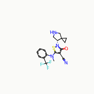 CN(c1ccccc1C(F)(F)F)c1sn([C@@H]2CNCC23CC3)c(=O)c1C#N